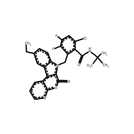 CCc1ccc2c(c1)c1c3cccnc3oc(=O)c1n2Cc1c(F)c(F)cc(Cl)c1C(=O)NC(C)(C)C